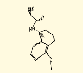 COc1cccc2c1CCC[C@H]2NC(=O)CBr